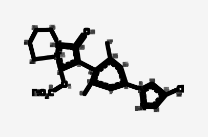 CCOC(=O)Oc1c(-c2c(C)cc(-n3cc(Cl)cn3)cc2C)c(=O)n2n1CCCC2